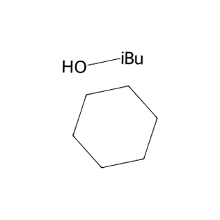 C1CCCCC1.CCC(C)O